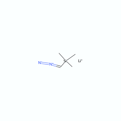 C[Si](C)(C)C=[N+]=[N-].[Li+]